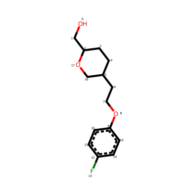 OCC1CCC(CCOc2ccc(F)cc2)CO1